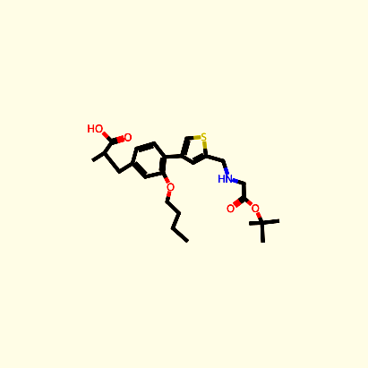 CCCCOc1cc(CC(C)C(=O)O)ccc1-c1csc(CNCC(=O)OC(C)(C)C)c1